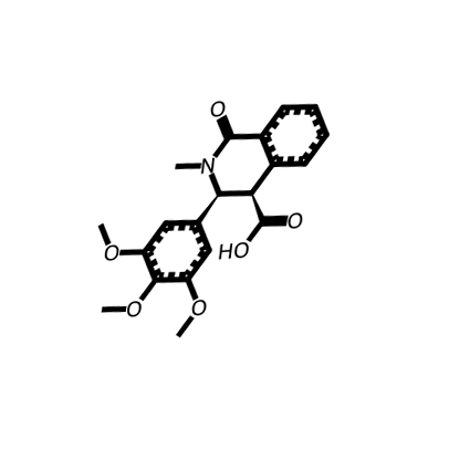 COc1cc([C@@H]2[C@H](C(=O)O)c3ccccc3C(=O)N2C)cc(OC)c1OC